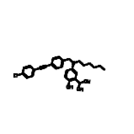 CCCCCCN(Cc1ccc(C#Cc2ccc(Cl)cc2)cc1)c1ccc(O)c(C(O)O)c1